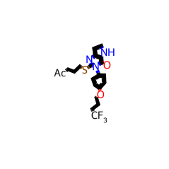 CC(=O)CCCSc1nc2cc[nH]c2c(=O)n1-c1ccc(OCCCC(F)(F)F)cc1